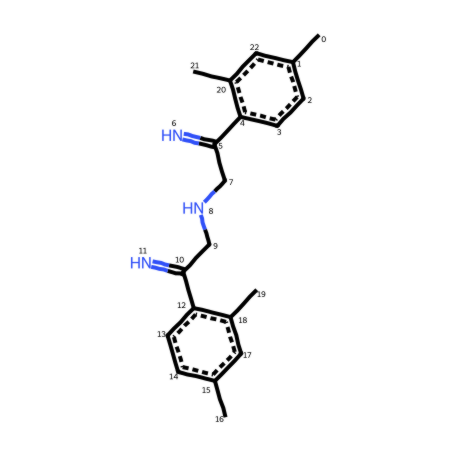 Cc1ccc(C(=N)CNCC(=N)c2ccc(C)cc2C)c(C)c1